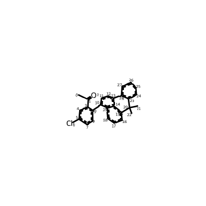 CC(=O)c1cc(Cl)ccc1-c1ccc2c3c(cccc13)C(C)(C)c1ccccc1-2